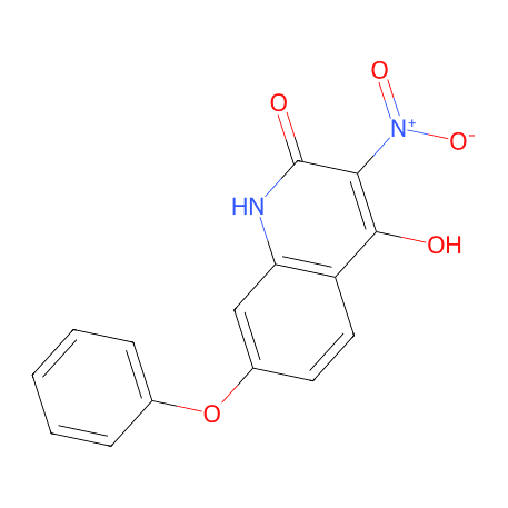 O=c1[nH]c2cc(Oc3ccccc3)ccc2c(O)c1[N+](=O)[O-]